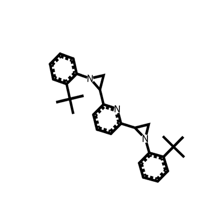 CC(C)(C)c1ccccc1N1CC1c1cccc(C2CN2c2ccccc2C(C)(C)C)n1